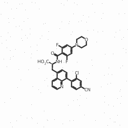 N#Cc1ccc(-c2ccc(C[C@H](NC(=O)c3c(F)cc(N4CCOCC4)cc3F)C(=O)O)c3cccnc23)c(Cl)c1